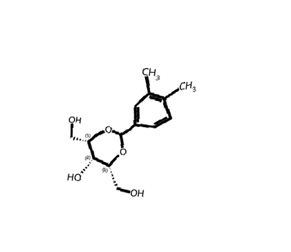 Cc1ccc(C2O[C@@H](CO)[C@@H](O)[C@@H](CO)O2)cc1C